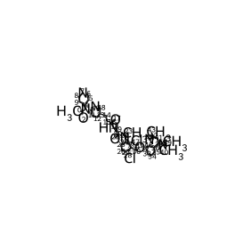 CC(=O)N(c1ccncc1)c1ccc(C=CC(=O)NCC(=O)N(C)c2ccc(Cl)c(COc3cccc4c(N(C)C)cc(C)nc34)c2Cl)cn1